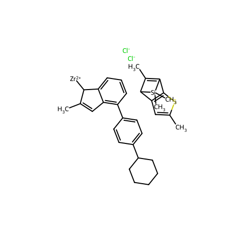 CC1=C2c3sc(C)cc3C1[Si]2(C)C.CC1=Cc2c(-c3ccc(C4CCCCC4)cc3)cccc2[CH]1[Zr+2].[Cl-].[Cl-]